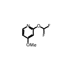 COc1ccnc(OC(F)F)c1